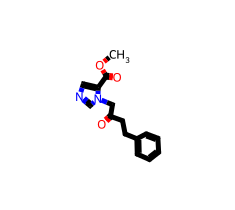 COC(=O)c1cncn1CC(=O)CCc1ccccc1